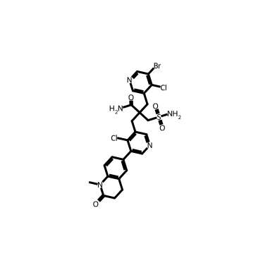 CN1C(=O)CCc2cc(-c3cncc(CC(Cc4cncc(Br)c4Cl)(CS(N)(=O)=O)C(N)=O)c3Cl)ccc21